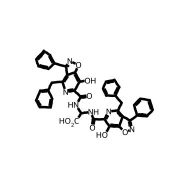 O=C(NC(NC(=O)c1nc(Cc2ccccc2)c2c(-c3ccccc3)noc2c1O)C(=O)O)c1nc(Cc2ccccc2)c2c(-c3ccccc3)noc2c1O